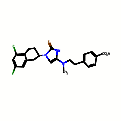 CN(CCc1ccc(C(=O)O)cc1)c1cn([C@H]2CCc3c(F)cc(F)cc3C2)c(=S)[nH]1